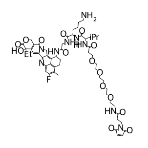 CCC1(O)C(=O)OCc2c1cc1n(c2=O)Cc2c-1nc1cc(F)c(C)c3c1c2[C@@H](NC(=O)CNC(=O)[C@H](CCCCN)NC(=O)C(NC(=O)CCOCCOCCOCCOCCNC(=O)CCN1C(=O)C=CC1=O)C(C)C)CC3